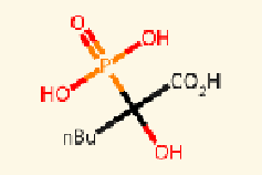 CCCCC(O)(C(=O)O)P(=O)(O)O